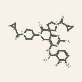 Cc1nc(N[C@H](C)c2cccc(C(F)(F)F)c2F)c2c(n1)C1(CCN(C(=O)C3CC3)C1)C(=O)N(C1CCN(C(=O)C3CC3)CC1)C2